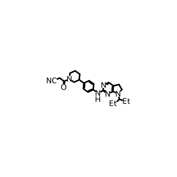 CCC(CC)N1CCc2cnc(Nc3ccc(C4CCCN(C(=O)CC#N)C4)cc3)nc21